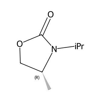 CC(C)N1C(=O)OC[C@H]1C